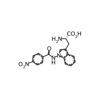 N[C@@H](Cc1cn(NC(=O)c2ccc([N+](=O)[O-])cc2)c2ccccc12)C(=O)O